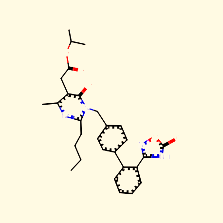 CCCCc1nc(C)c(CC(=O)OC(C)C)c(=O)n1Cc1ccc(-c2ccccc2-c2noc(=O)[nH]2)cc1